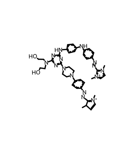 CC1C=C[N+](C)=C1N=Nc1ccc(N2CCN(c3nc(Nc4ccc(Nc5ccc(N=Nc6n(C)cc[n+]6C)cc5)cc4)nc(N(CCO)CCO)n3)CC2)cc1